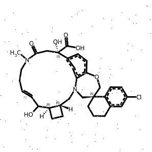 CN1CC/C=C/C(O)[C@@H]2CC[C@H]2CN2C[C@@]3(CCCc4cc(Cl)ccc43)COc3ccc(cc32)[C@](O)(C(=O)O)CC1=O